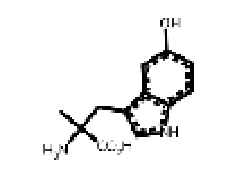 CC(N)(Cc1c[nH]c2ccc(O)cc12)C(=O)O